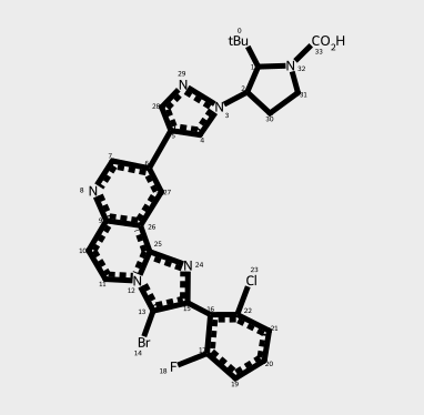 CC(C)(C)C1C(n2cc(-c3cnc4ccn5c(Br)c(-c6c(F)cccc6Cl)nc5c4c3)cn2)CCN1C(=O)O